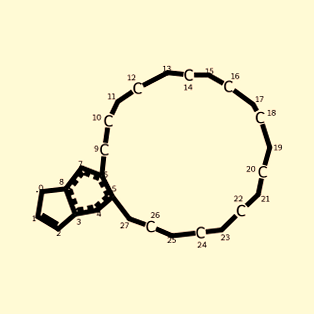 [CH]1C=Cc2cc3c(cc21)CCCCCCCCCCCCCCCCCCC3